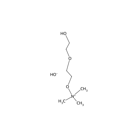 C[N+](C)(C)OCCOCCO.[OH-]